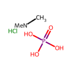 CNC.Cl.O=P(O)(O)O